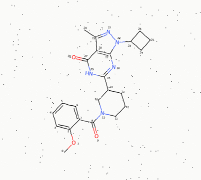 COc1ccccc1C(=O)N1CCCC(c2nc3c(c(C)nn3C3CCC3)c(=O)[nH]2)C1